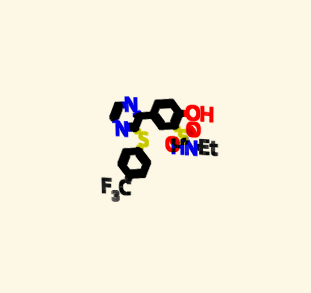 CCNS(=O)(=O)c1cc(-c2nccnc2Sc2ccc(C(F)(F)F)cc2)ccc1O